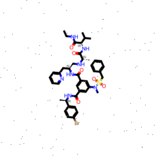 CCNC(=O)[C@@H](NC(=O)[C@H](C)NC[C@H](Cc1ccccn1)NC(=O)c1cc(C(=O)N[C@H](C)c2ccc(Br)cc2)cc(N(C)S(=O)(=O)Cc2ccccc2)c1)C(C)C